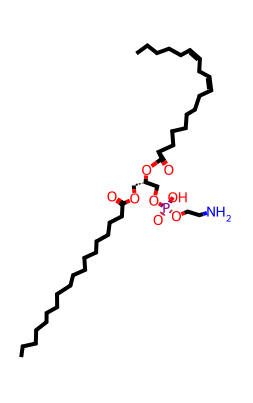 CCCCC/C=C\C/C=C\CCCCCCCC(=O)O[C@@H](COC(=O)CCCCCCCCCCCCCCCCC)COP(=O)(O)OCCN